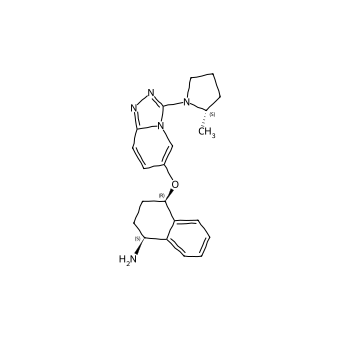 C[C@H]1CCCN1c1nnc2ccc(O[C@@H]3CC[C@H](N)c4ccccc43)cn12